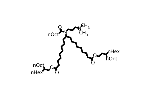 CCCCCCCCC(=O)N(CCCN(C)C)C(CCCCCCCCC(=O)OCCC(CCCCCC)CCCCCCCC)CCCCCCCCC(=O)OCC(CCCCCC)CCCCCCCC